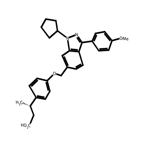 COc1ccc(-c2nn(C3CCCC3)c3cc(COc4ccc([C@@H](C)CC(=O)O)cc4)ccc23)cc1